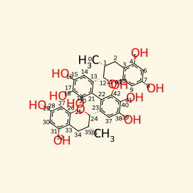 C[C@@H]1Cc2c(O)cc(O)cc2O[C@@H]1c1cc(O)c(O)c(O)c1-c1c([C@H]2Oc3cc(O)cc(O)c3C[C@H]2C)cc(O)c(O)c1O